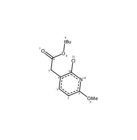 COc1ccc(CC(=O)OC(C)(C)C)c(Cl)n1